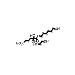 O=C(O)CCCC(O)(O)C(=O)OCCCCCCO.OCCO